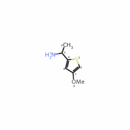 COc1csc(C(C)N)c1